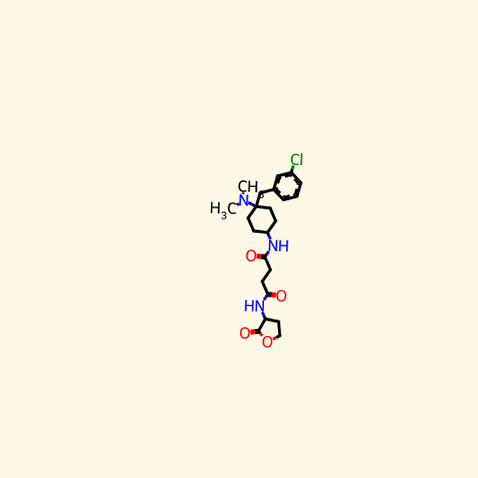 CN(C)C1(Cc2cccc(Cl)c2)CCC(NC(=O)CCC(=O)NC2CCOC2=O)CC1